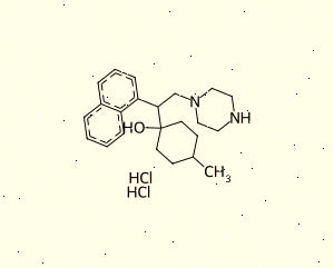 CC1CCC(O)(C(CN2CCNCC2)c2cccc3ccccc23)CC1.Cl.Cl